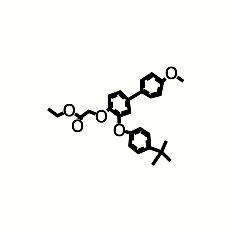 CCOC(=O)COc1ccc(-c2ccc(OC)cc2)cc1Oc1ccc(C(C)(C)C)cc1